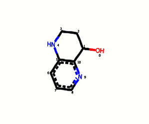 OC1CCNc2cccnc21